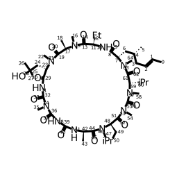 C/C=C/C[C@@H](C)C[C@H]1C(=O)N[C@@H](CC)C(=O)N(C)[C@H](C)C(=O)N(C)[C@@H](CC(C)(C)O)C(=O)NC(=O)N(C)C(=O)NC(=O)N[C@H](C)C(=O)N(C)[C@H](CC(C)C)C(=O)N(C)C(=O)N(C)[C@@H](C(C)C)C(=O)N1C